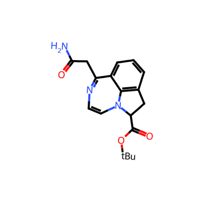 CC(C)(C)OC(=O)C1Cc2cccc3c2N1C=CN=C3CC(N)=O